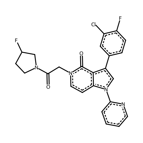 O=C(Cn1ccc2c(c(-c3ccc(F)c(Cl)c3)cn2-c2ccccn2)c1=O)N1CCC(F)C1